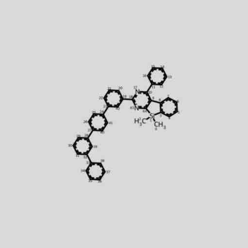 C[Si]1(C)c2ccccc2-c2c(-c3ccccc3)nc(-c3cccc(-c4ccc(-c5cccc(-c6ccccc6)c5)cc4)c3)nc21